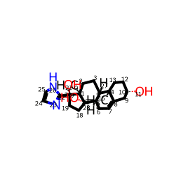 C[C@]12CC[C@H]3[C@@H](CC=C4C[C@@H](O)CC[C@@]43C)[C@@]1(O)CC[C@]2(O)c1ncc[nH]1